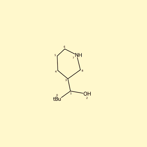 CC(C)(C)C(O)C1CCCNC1